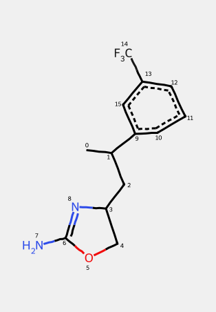 CC(CC1COC(N)=N1)c1cccc(C(F)(F)F)c1